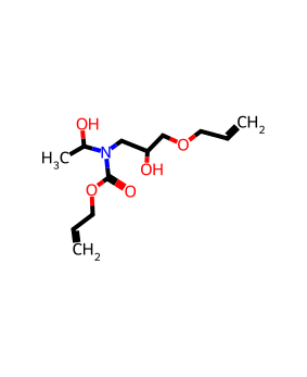 C=CCOCC(O)CN(C(=O)OCC=C)C(C)O